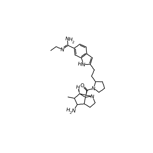 CCN=C(N)c1ccc2cc(CCC3CCCN3C(=O)[C@]34C5CCN3[C@H]4C(C)C5N)[nH]c2c1